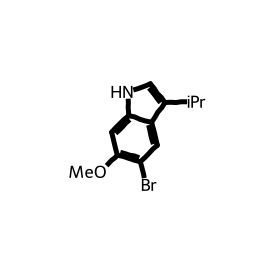 COc1cc2[nH]cc(C(C)C)c2cc1Br